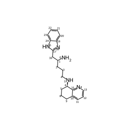 NC(CCCN[C@@H]1CCCc2cccnc21)Cc1nc2ccccc2[nH]1